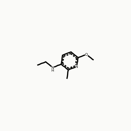 CCNc1ccc(OC)nc1C